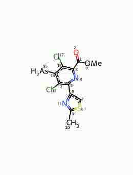 COC(=O)c1nc(-c2csc(C)n2)c(Cl)c([AsH2])c1Cl